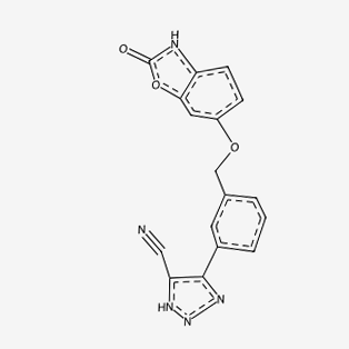 N#Cc1[nH]nnc1-c1cccc(COc2ccc3[nH]c(=O)oc3c2)c1